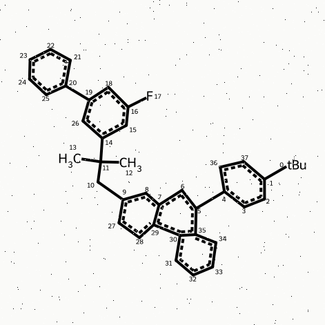 CC(C)(C)c1ccc(-c2cc3cc(CC(C)(C)c4cc(F)cc(-c5ccccc5)c4)ccc3c3ccccc23)cc1